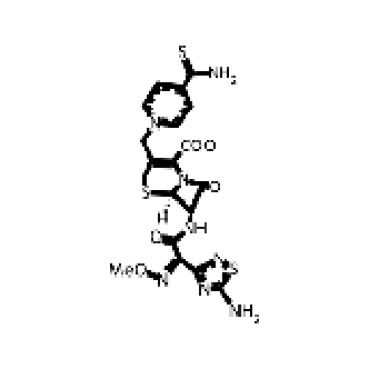 CO/N=C(\C(=O)N[C@@H]1C(=O)N2C(C(=O)[O-])=C(C[n+]3ccc(C(N)=S)cc3)CS[C@H]12)c1nsc(N)n1